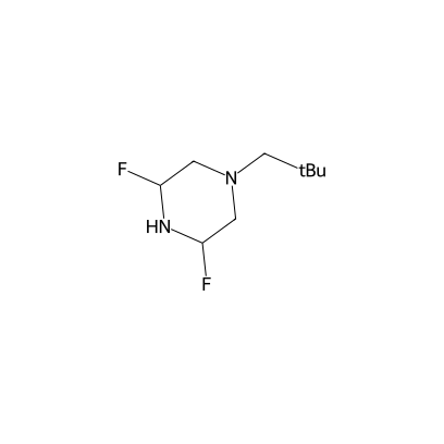 CC(C)(C)CN1CC(F)NC(F)C1